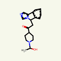 [CH2]C(O)N1CCC(C(=O)CC2c3ccccc3-c3cncn32)CC1